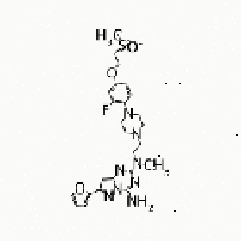 CN(CCN1CCN(c2ccc(OCC[S+](C)[O-])cc2F)CC1)c1nc(N)n2nc(-c3ccco3)cc2n1